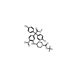 COC(=O)C(c1ccc(Cl)cc1)(c1ccc(Cl)cc1)c1ccc([N+](=O)[O-])c(NC2CCN(C(=O)OC(C)(C)C)CC2)c1